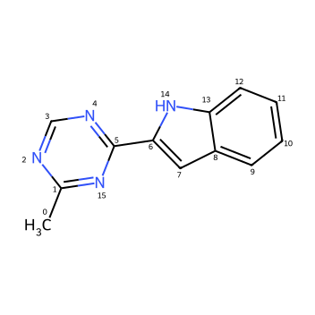 Cc1ncnc(-c2cc3ccccc3[nH]2)n1